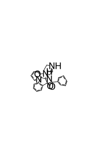 O=C(NC1([N+]2(c3ccccn3)CCNCC2)C(=O)c2ccccc2C1=O)c1ccccc1